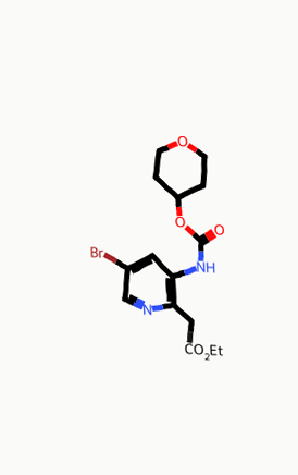 CCOC(=O)Cc1ncc(Br)cc1NC(=O)OC1CCOCC1